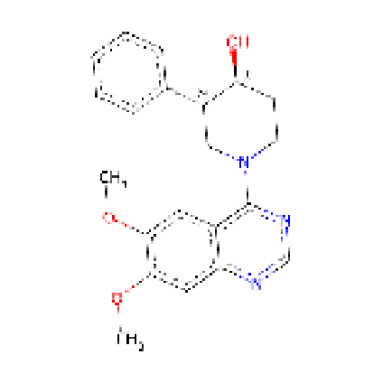 COc1cc2ncnc(N3CC[C@H](O)[C@@H](c4ccccc4)C3)c2cc1OC